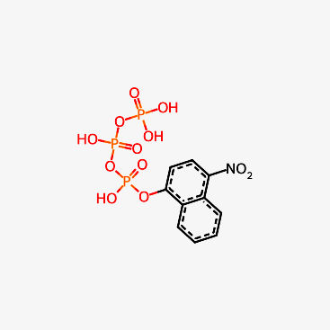 O=[N+]([O-])c1ccc(OP(=O)(O)OP(=O)(O)OP(=O)(O)O)c2ccccc12